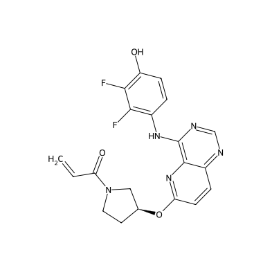 C=CC(=O)N1CC[C@H](Oc2ccc3ncnc(Nc4ccc(O)c(F)c4F)c3n2)C1